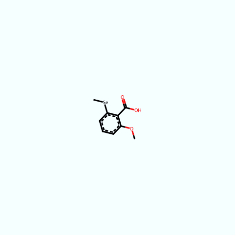 COc1cccc([Se]C)c1C(=O)O